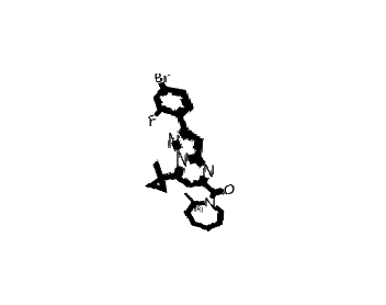 C[C@@H]1CCCCCN1C(=O)c1cc(C2(C)CC2)n2nc(-c3ccc(Br)cc3F)cc2n1